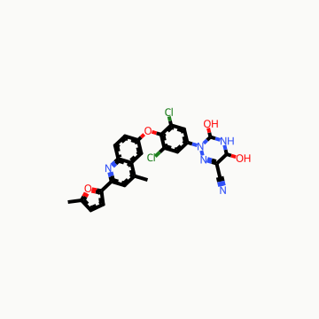 Cc1ccc(-c2cc(C)c3cc(Oc4c(Cl)cc(N5N=C(C#N)C(O)NC5O)cc4Cl)ccc3n2)o1